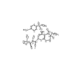 Cc1ccc(S(=O)(=O)O)cc1.N[C@@H]1C(=O)N2C(C(=O)O)=C(COC(=O)N(Cl)C(=O)C(Cl)Cl)CS[C@H]12